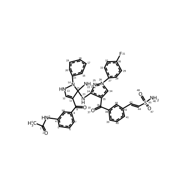 CC(=O)Nc1cccc(C(=O)C2=CNN(c3ccccc3)C2(N)Nc2nn(-c3ccc(F)cc3)cc2C(=O)c2cccc(C=CS(N)(=O)=O)c2)c1